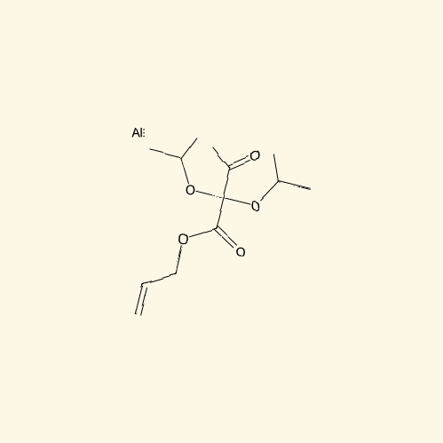 C=CCOC(=O)C(OC(C)C)(OC(C)C)C(C)=O.[Al]